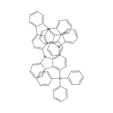 c1ccc(-c2ccccc2-n2c3ccccc3c3ccc(-n4c5ccccc5c5c([Si](c6ccccc6)(c6ccccc6)c6ccccc6)ccc(-n6c7ccccc7c7ccccc76)c54)cc32)cc1